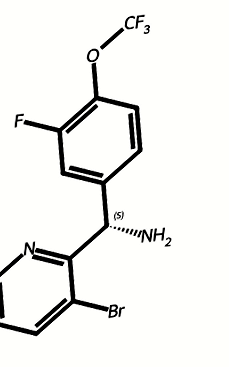 N[C@@H](c1ccc(OC(F)(F)F)c(F)c1)c1ncccc1Br